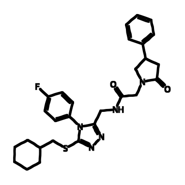 O=C(CN1CC(c2ccccc2)CC1=O)NCc1nnc(SCC2CCCCC2)n1-c1ccc(F)cc1